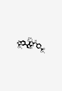 COc1nc(NC2CCN(C(C)=O)CC2)nc2[nH]cc(-c3ccc4nnc(C)n4c3)c12